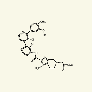 CCOc1cc(-c2nccc(-c3cccc(NC(=O)c4nc5c(n4C)CCN(CC(=O)OC)C5)c3Cl)c2Cl)ccc1C=O